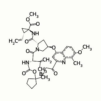 C=C[C@@H]1C[C@]1(NC(=O)[C@@H]1C[C@@H](Oc2cc(C(=O)CBr)nc3c(C)c(OC)ccc23)CN1C(=O)[C@@H](NC(=O)OC1(C)CCCC1)C(=C)C)C(=O)OC